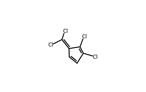 ClC(Cl)=C1C=CC(Cl)=C1Cl